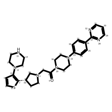 O=C(CN1CC[C@H](c2sccc2N2CCNCC2)C1)N1CCN(c2ccc(-c3ncccn3)cc2)CC1